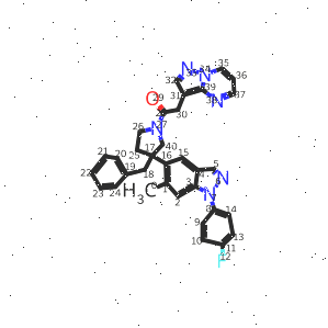 Cc1cc2c(cnn2-c2ccc(F)cc2)cc1C1(Cc2ccccc2)CCN(C(=O)Cc2cnn3cccnc23)C1